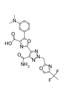 CN(C)c1cccc(-c2oc(-c3nn(Cc4nc(C(C)(F)F)co4)nc3C(N)=O)nc2C(=O)O)c1